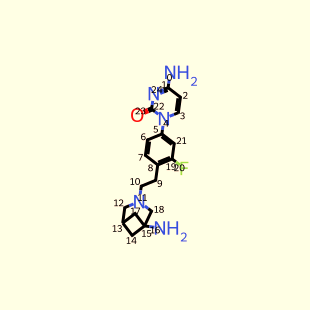 Nc1ccn(-c2ccc(CCN3CC4CC(N)(C4)C3)c(F)c2)c(=O)n1